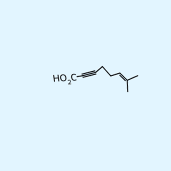 CC(C)=CCCC#CC(=O)O